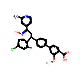 COc1cc(-c2ccc(C(CC(=NO)c3ccnc(C)c3)c3ccc(Cl)cc3F)cc2)ccc1C(=O)O